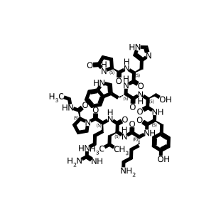 CCNC(=O)[C@@H]1CCCN1C(=O)[C@H](CCCNC(=N)N)NC(=O)[C@H](CC(C)C)NC(=O)[C@@H](CCCCN)NC(=O)[C@H](Cc1ccc(O)cc1)NC(=O)[C@H](CO)NC(=O)[C@H](Cc1c[nH]c2ccccc12)NC(=O)[C@H](Cc1c[nH]cn1)NC(=O)[C@@H]1CCC(=O)N1